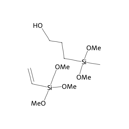 C=C[Si](OC)(OC)OC.CO[Si](C)(CCCO)OC